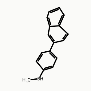 CBc1ccc(-c2ccc3ccccc3c2)cc1